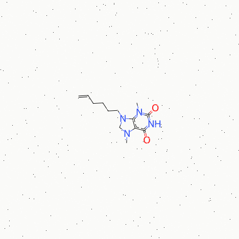 C=CCCCCN1CN(C)c2c1n(C)c(=O)[nH]c2=O